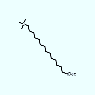 [CH2]CCCCCCCCCCCCCCCCCCCCCCC[Si](C)(C)C